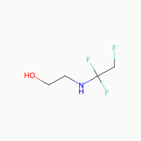 OCCNC(F)(F)CF